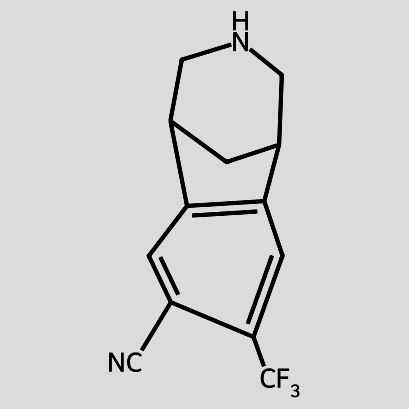 N#Cc1cc2c(cc1C(F)(F)F)C1CNCC2C1